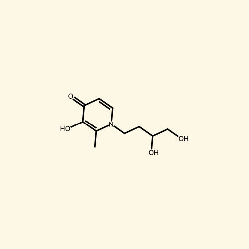 Cc1c(O)c(=O)ccn1CCC(O)CO